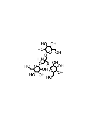 NC(CO[C@H]1OC(CO)[C@@H](O)[C@H](O)C1O)(CO[C@H]1OC(CO)[C@@H](O)[C@H](O)C1O)CO[C@H]1OC(CO)[C@@H](O)[C@H](O)C1O